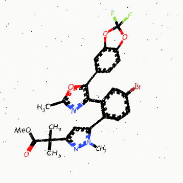 COC(=O)C(C)(C)c1cc(-c2ccc(Br)cc2-c2nc(C)oc2-c2ccc3c(c2)OC(F)(F)O3)n(C)n1